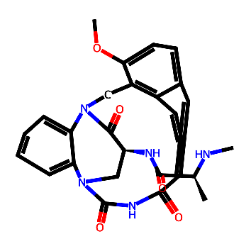 CN[C@@H](C)C(=O)N[C@H]1CN2C(=O)NC(=O)c3ccc4c(c(OC)ccc4c3)CN(C1=O)c1ccccc12